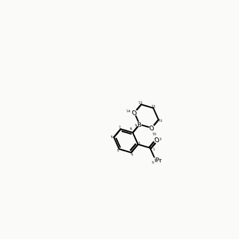 CC(C)C(=O)c1ccccc1B1OCCCO1